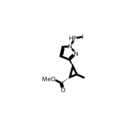 COC(=O)[C@H]1C(C)[C@@H]1c1ccn(PI)n1